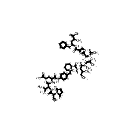 CC[C@H](C)[C@H](NC(=O)[C@H]1CCCC[N+]1(C)Cc1ccc(NC(=O)C(CCC(=O)O)NC(=O)C(NC(=O)C(CN)N2C(=O)C=CC2=O)C(C)C)cc1)C(=O)N(C)[C@H](C[C@@H](OC(C)=O)c1nc(C(=O)N[C@@H](Cc2ccccc2)C[C@H](C)C(=O)O)cs1)C(C)C